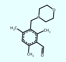 Cc1cc(C)c(CN2CCOCC2)c(C)c1C=O